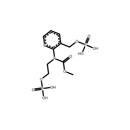 COC(=O)N(CCOP(=O)(O)O)c1ncccc1COP(=O)(O)O